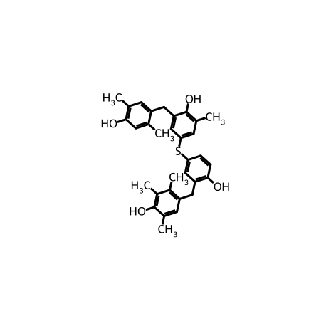 Cc1cc(Cc2cc(Sc3ccc(O)c(Cc4cc(C)c(O)c(C)c4C)c3)cc(C)c2O)c(C)cc1O